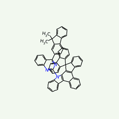 CC1(C)c2ccccc2-c2ccc(-c3nc(-n4c5ccccc5c5c6ccccc6c6c(c54)C4(c5ccccc5-c5ccccc54)c4ccccc4-6)nc4ccccc34)cc21